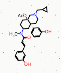 CC(=O)O[C@]12CC[C@H](N(C)C(=O)C=Cc3cccc(O)c3)C[C@]1(c1cccc(O)c1)CCN(CC1CC1)C2